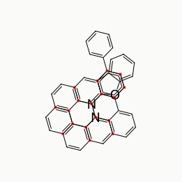 c1ccc(-c2cccc(N(c3ccccc3-c3ccccc3)c3ccccc3-c3ccccc3N(c3ccccc3-c3ccccc3)c3cccc4c3oc3ccccc34)c2)cc1